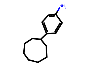 Nc1ccc(C2CCCCCCC2)cc1